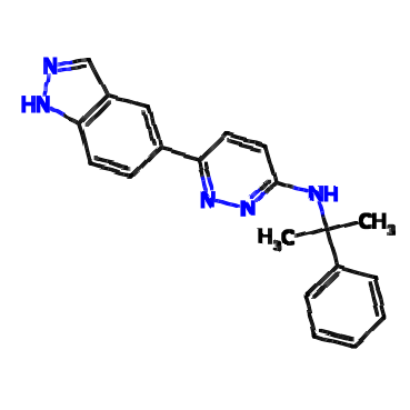 CC(C)(Nc1ccc(-c2ccc3[nH]ncc3c2)nn1)c1ccccc1